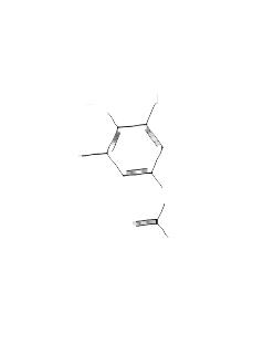 CCC(=O)Oc1cc(I)c(O)c(I)c1